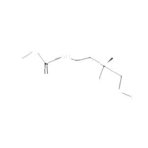 CCOC[C@](C)(CCNC(=O)OC(C)(C)C)C(=O)O